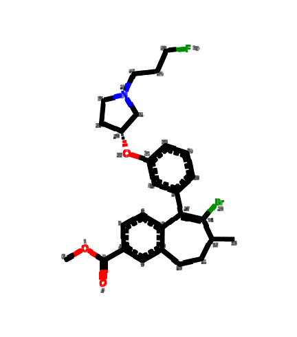 COC(=O)c1ccc2c(c1)CCC(C)C(Br)=C2c1cccc(O[C@@H]2CCN(CCCF)C2)c1